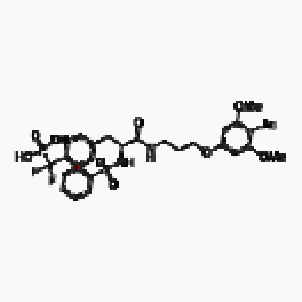 COc1cc(OCCCNC(=O)C(Cc2ccc(C(F)(F)P(=O)(O)O)cc2)NS(=O)(=O)c2ccccc2)cc(OC)c1C(C)=O